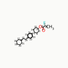 C[C@H](F)C(=O)O[C@H]1CC[C@H](c2ccc(CCC3CC[CH]CC3)cc2)CC1